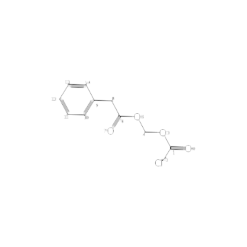 O=C(Cl)OCOC(=O)Cc1ccccc1